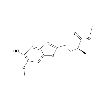 COC(=O)[C@@H](C)CCc1cc2cc(O)c(OC)cc2s1